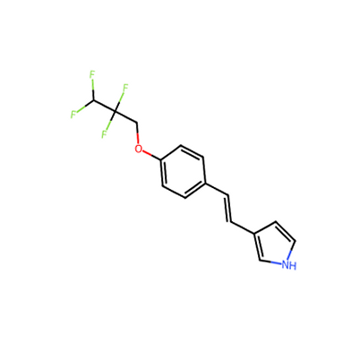 FC(F)C(F)(F)COc1ccc(C=Cc2cc[nH]c2)cc1